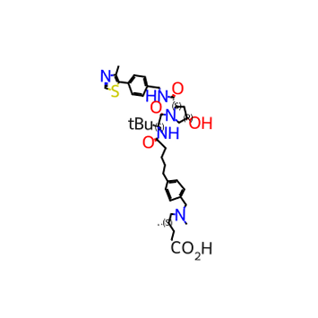 Cc1ncsc1-c1ccc(CNC(=O)[C@@H]2C[C@@H](O)CN2C(=O)[C@@H](NC(=O)CCCCc2ccc(CN(C)C[C@@H](C)CCC(=O)O)cc2)C(C)(C)C)cc1